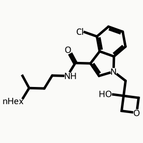 CCCCCCC(C)CCNC(=O)c1cn(CC2(O)COC2)c2cccc(Cl)c12